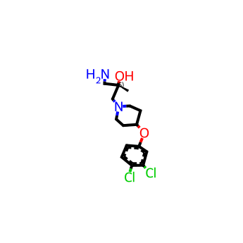 C[C@](O)(CN)CN1CCC(Oc2ccc(Cl)c(Cl)c2)CC1